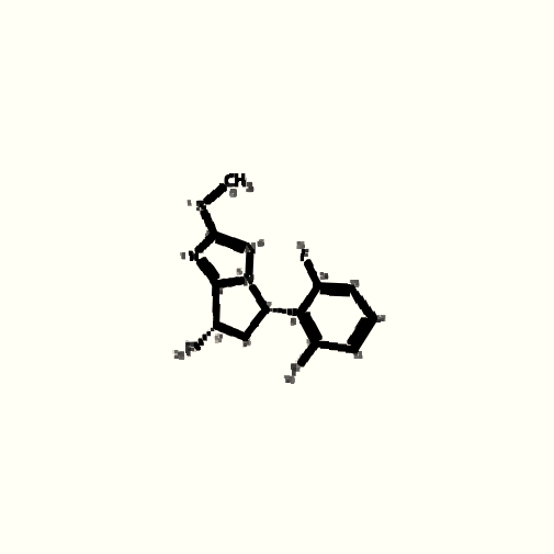 CSc1nc2n(n1)[C@H](c1c(F)cccc1F)C[C@@H]2F